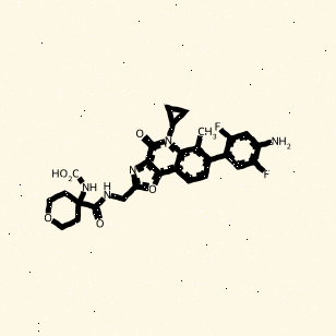 Cc1c(-c2cc(F)c(N)cc2F)ccc2c3oc(CNC(=O)C4(NC(=O)O)CCOCC4)nc3c(=O)n(C3CC3)c12